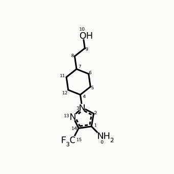 Nc1cn(C2CCC(CCO)CC2)nc1C(F)(F)F